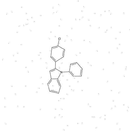 Clc1ccc(-c2cc3ccccc3n2-c2ccccc2)cc1